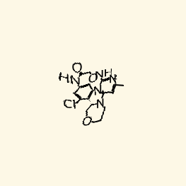 Cc1cc(N2CCCOC[C@@H]2c2cc3c(cc2Cl)NC(=O)CO3)nc(N)n1